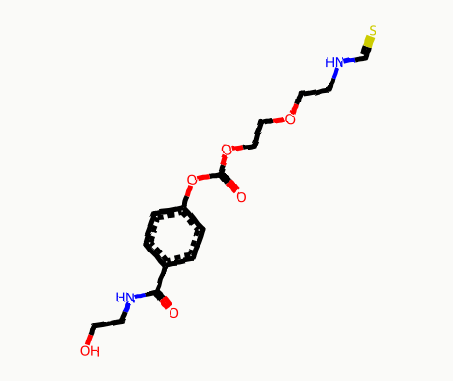 O=C(OCCOCCNC=S)Oc1ccc(C(=O)NCCO)cc1